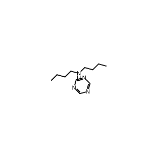 CCCCNCCCC.c1ncncn1